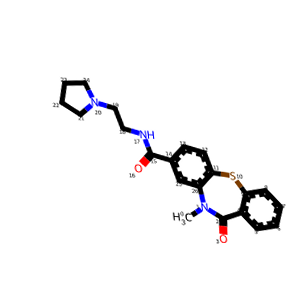 CN1C(=O)c2ccccc2Sc2ccc(C(=O)NCCN3CCCC3)cc21